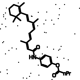 CCCC(=O)Oc1ccc(NC(=O)C=C(C)C=CC=C(C)C=CC2=C(C)CCCC2(C)C)cc1